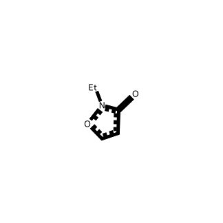 CCn1occc1=O